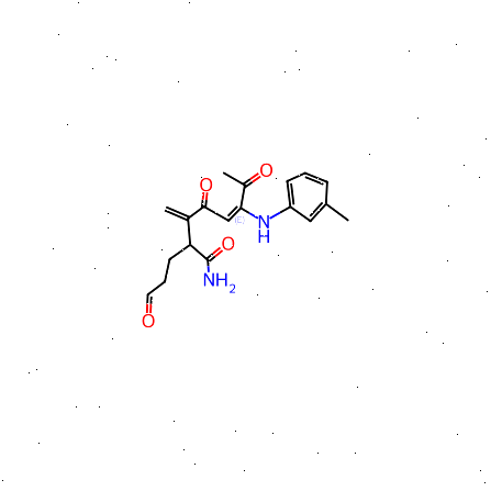 C=C(C(=O)/C=C(/Nc1cccc(C)c1)C(C)=O)C(CCC=O)C(N)=O